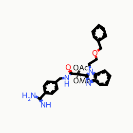 CO[C@@](OC(C)=O)(C(=O)NCc1ccc(C(=N)N)cc1)c1nc2ccccc2n1CCOCc1ccccc1